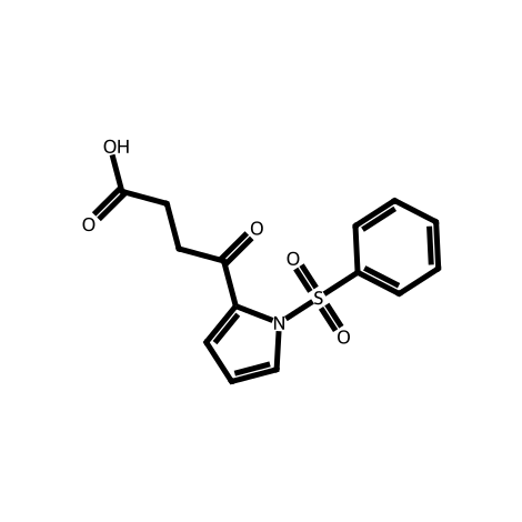 O=C(O)CCC(=O)c1cccn1S(=O)(=O)c1ccccc1